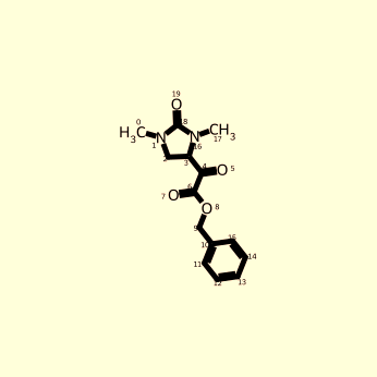 CN1CC(C(=O)C(=O)OCc2ccccc2)N(C)C1=O